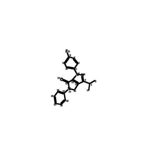 CC(C)c1nn(-c2ccc(F)cc2)c2c1CN(c1ccccc1)C2=O